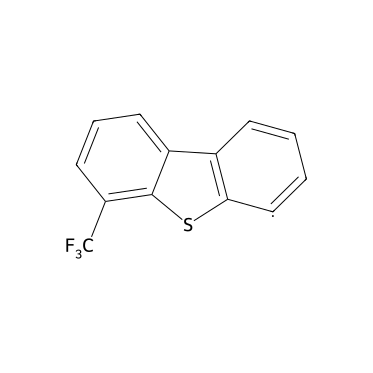 FC(F)(F)c1cccc2c1sc1[c]cccc12